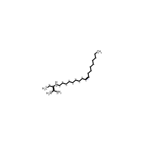 CCCCCCCC/C=C\CCCCCCCCNC(CC)=C(N)N